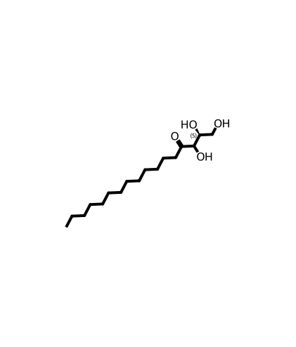 CCCCCCCCCCCCCC(=O)C(O)[C@@H](O)CO